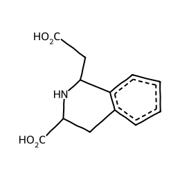 O=C(O)CC1NC(C(=O)O)Cc2ccccc21